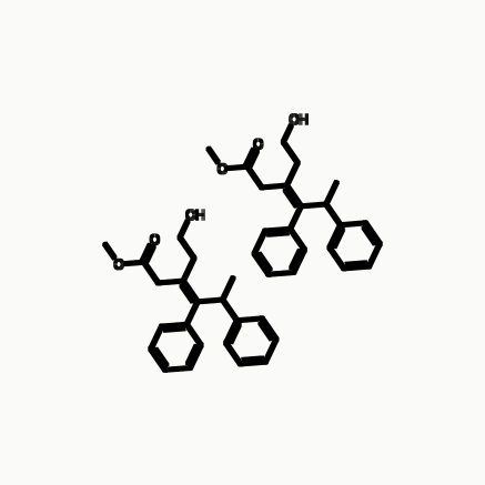 COC(=O)CC(CCO)=C(c1ccccc1)C(C)c1ccccc1.COC(=O)CC(CCO)=C(c1ccccc1)C(C)c1ccccc1